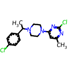 Cc1cc(N2CCN(C(C)c3ccc(Cl)cc3)CC2)nc(Cl)n1